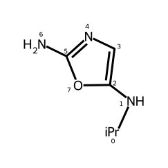 CC(C)Nc1cnc(N)o1